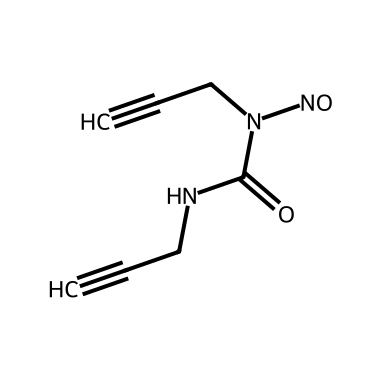 C#CCNC(=O)N(CC#C)N=O